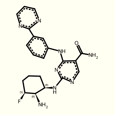 NC(=O)c1cnc(N[C@@H]2CCC[C@H](F)[C@@H]2N)nc1Nc1cccc(-c2ncccn2)c1